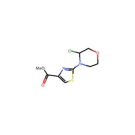 COC(=O)c1csc(N2CCOCC2Cl)n1